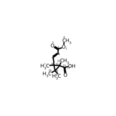 COC(=O)C=CC1(C)C(C)(C)C1(C)C(=O)O